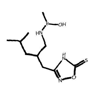 CB(O)NCC(Cc1noc(=S)[nH]1)CC(C)C